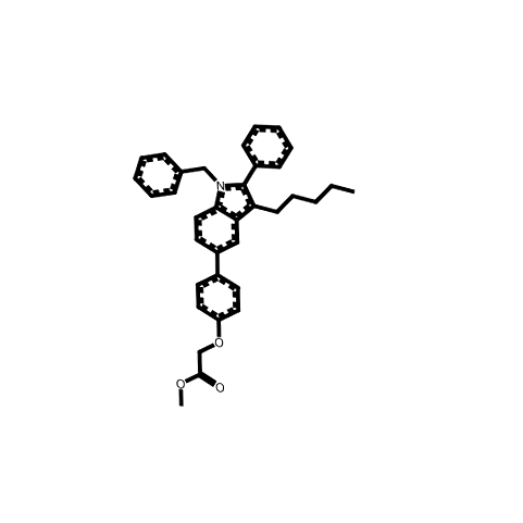 CCCCCc1c(-c2ccccc2)n(Cc2ccccc2)c2ccc(-c3ccc(OCC(=O)OC)cc3)cc12